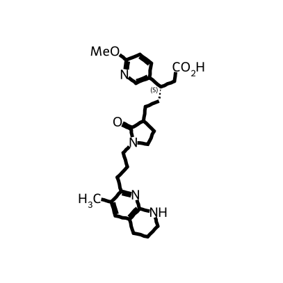 COc1ccc([C@@H](CCC2CCN(CCCc3nc4c(cc3C)CCCN4)C2=O)CC(=O)O)cn1